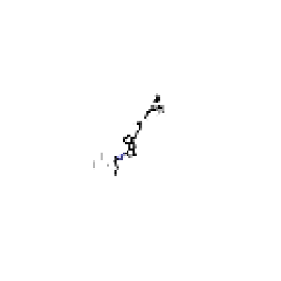 CC#CCC(C)C(O)/C=C/C1CCC2Oc3c(CCCC(=O)OCOCC(CO[N+](=O)[O-])O[N+](=O)[O-])cccc3C12